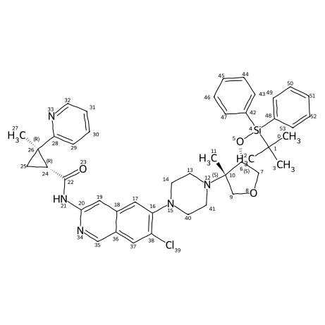 CC(C)(C)[Si](O[C@@H]1COC[C@]1(C)N1CCN(c2cc3cc(NC(=O)[C@@H]4C[C@@]4(C)c4ccccn4)ncc3cc2Cl)CC1)(c1ccccc1)c1ccccc1